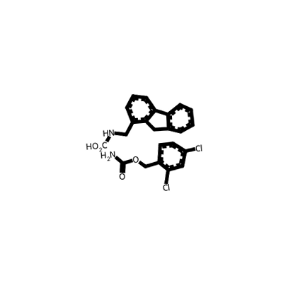 NC(=O)OCc1ccc(Cl)cc1Cl.O=C(O)NCc1cccc2c1Cc1ccccc1-2